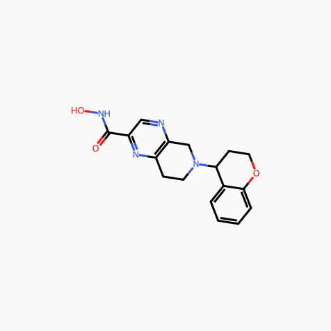 O=C(NO)c1cnc2c(n1)CCN(C1CCOc3ccccc31)C2